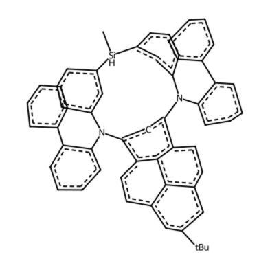 C[SiH]1c2cccc(c2)N(c2ccccc2-c2ccccc2)c2cc(c3ccc4cc(C(C)(C)C)cc5ccc2c3c54)N(c2ccccc2-c2ccccc2)c2cccc1c2